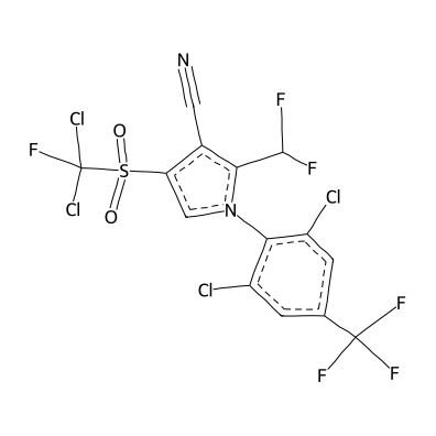 N#Cc1c(S(=O)(=O)C(F)(Cl)Cl)cn(-c2c(Cl)cc(C(F)(F)F)cc2Cl)c1C(F)F